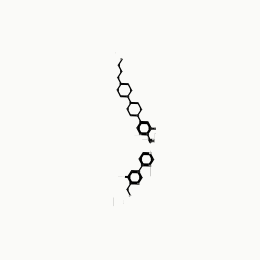 CCCCCC1CCC(C2CCC(c3cc(F)c(C(F)(F)Oc4ccc(-c5cc(F)c(CCC)c(F)c5)c(F)c4)c(F)c3)CC2)CC1